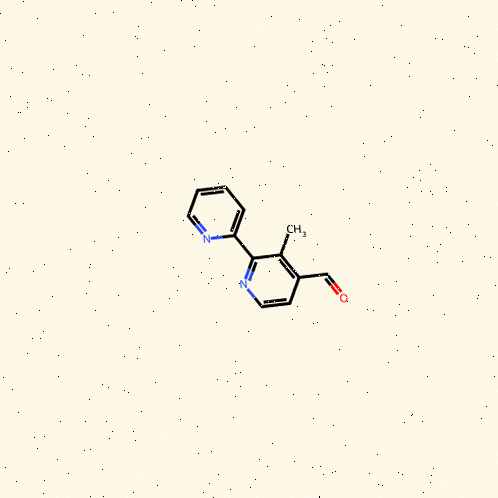 Cc1c(C=O)ccnc1-c1ccccn1